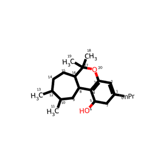 CCCC1=CC2=C(C(O)C1)C1CC(C)C(C)CCC1C(C)(C)O2